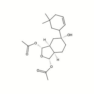 CC(=O)O[C@H]1O[C@@H](OC(C)=O)[C@@H]2CC[C@](O)(C3C=CCC(C)(C)C3)C[C@H]12